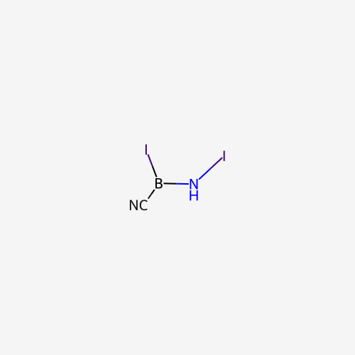 N#CB(I)NI